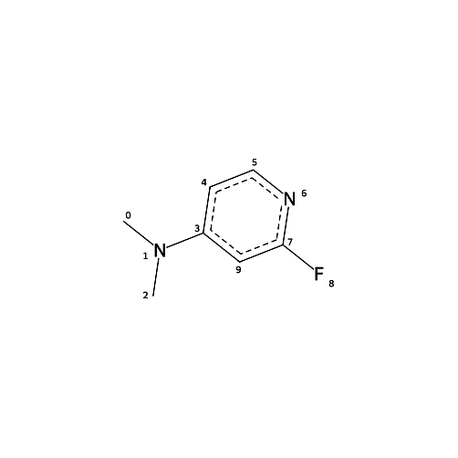 CN(C)c1ccnc(F)c1